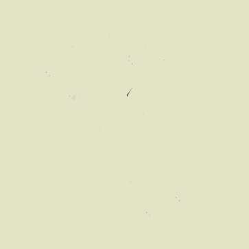 N=C(N)c1cccc(N2CCC[C@H]2COC(=O)c2ccc(C(=N)N3CCCC3)cc2)c1